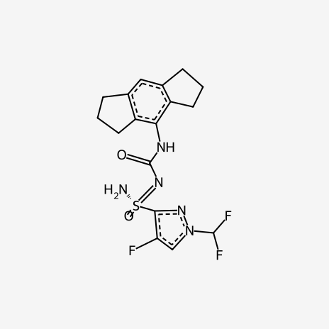 N[S@](=O)(=NC(=O)Nc1c2c(cc3c1CCC3)CCC2)c1nn(C(F)F)cc1F